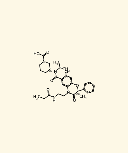 CCC(=O)NCCN1C(=O)[C@](C)(c2ccccc2)Oc2cc(Cl)c(C(=O)N(C(C)C)[C@@H]3CCCN(C(=O)O)C3)cc21